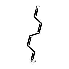 [CH-]=C/C=C\C=C/[CH]=[Fe+]